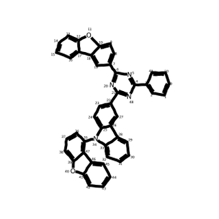 c1ccc(-c2nc(-c3ccc4oc5ccccc5c4c3)nc(-c3ccc4c(c3)c3ccccc3n4-c3cccc4oc5ccccc5c34)n2)cc1